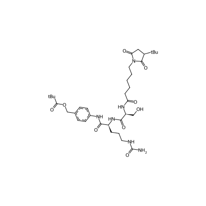 CC(C)(C)C(=O)OCc1ccc(NC(=O)[C@H](CCCNC(N)=O)NC(=O)[C@H](CO)NC(=O)CCCCCN2C(=O)CC(C(C)(C)C)C2=O)cc1